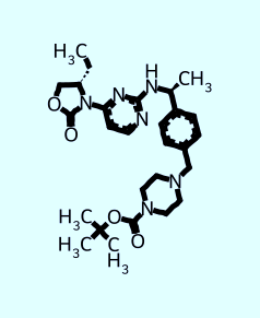 CC[C@H]1COC(=O)N1c1ccnc(N[C@@H](C)c2ccc(CN3CCN(C(=O)OC(C)(C)C)CC3)cc2)n1